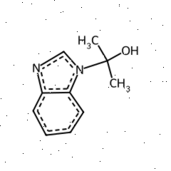 CC(C)(O)n1cnc2ccccc21